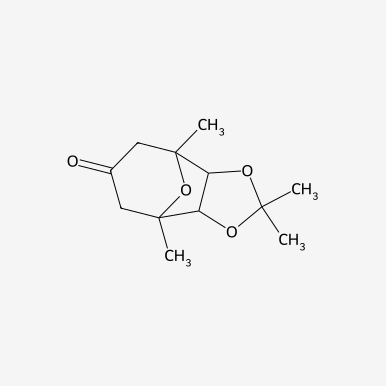 CC1(C)OC2C(O1)C1(C)CC(=O)CC2(C)O1